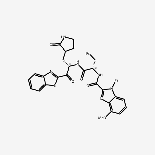 CCn1c(C(=O)N[C@@H](CC(C)C)C(=O)N[C@@H](CC2CCNC2=O)C(=O)c2nc3ccccc3s2)nc2c(OC)cccc21